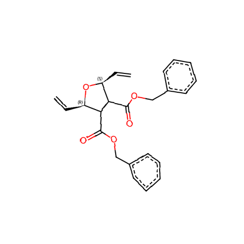 C=C[C@@H]1O[C@H](C=C)C(C(=O)OCc2ccccc2)C1C(=O)OCc1ccccc1